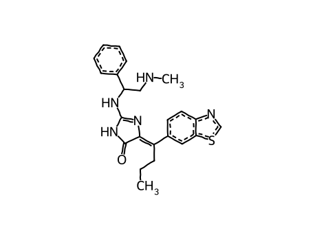 CCC/C(=C1/N=C(NC(CNC)c2ccccc2)NC1=O)c1ccc2ncsc2c1